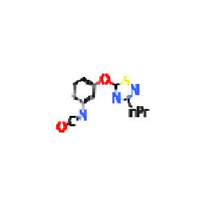 CCCc1nsc(Oc2cccc(N=C=O)c2)n1